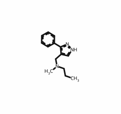 CCCN(C)Cc1c[nH]nc1-c1ccccc1